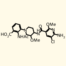 COc1nc(N)c(Cl)cc1C(=O)NC1CCN(c2cccc(C(=O)O)c2NC(C)=O)CC1OC